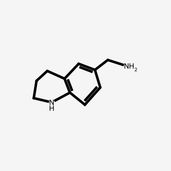 NCc1ccc2c(c1)CCCN2